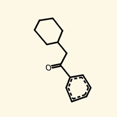 O=C(CC1CCCCC1)c1ccccc1